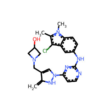 C=C1NN(c2ccnc(Nc3ccc4c(c3)c(Cl)c(C)n4C)n2)C=C1CN1CC(O)C1